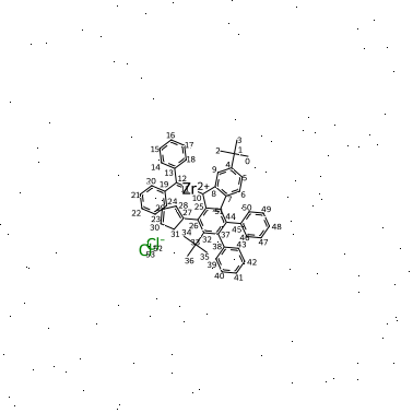 CC(C)(C)c1ccc2c(c1)[CH]([Zr+2]=[C](c1ccccc1)c1ccccc1)c1c(C3=CC=CC3)c(C(C)(C)C)c(-c3ccccc3)c(-c3ccccc3)c1-2.[Cl-].[Cl-]